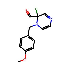 COc1ccc(CN2C=CN=CC2(Cl)C=O)cc1